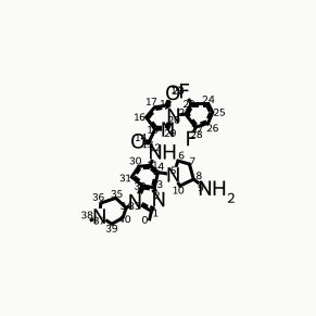 Cc1nc2c(N3CCC(N)C3)c(NC(=O)c3ccc(=O)n(-c4c(F)cccc4F)n3)ccc2n1C1CCN(C)CC1